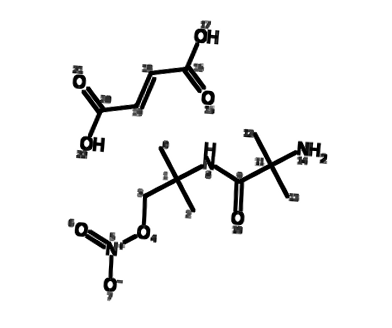 CC(C)(CO[N+](=O)[O-])NC(=O)C(C)(C)N.O=C(O)C=CC(=O)O